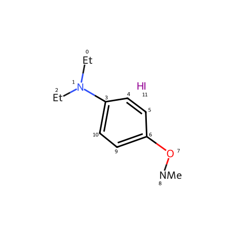 CCN(CC)c1ccc(ONC)cc1.I